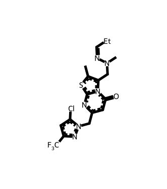 CC/C=N\N(C)Cc1c(C)sc2nc(Cn3nc(C(F)(F)F)cc3Cl)cc(=O)n12